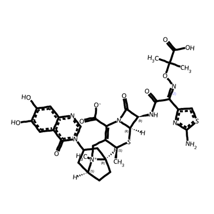 C[C@@H]1S[C@@H]2[C@H](NC(=O)/C(=N\OC(C)(C)C(=O)O)c3csc(N)n3)C(=O)N2C(C(=O)[O-])=C1C[N+]1(C)[C@@H]2CC[C@H]1CC(n1cnc3cc(O)c(O)cc3c1=O)C2